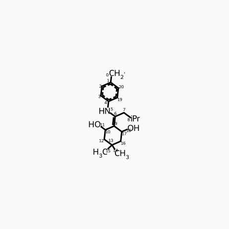 [CH2]c1ccc(NC(CC(C)C)=C2C(O)CC(C)(C)CC2O)cc1